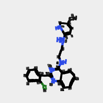 N#CC1=CC=C(NCCNc2nc(-c3ccccc3Cl)nc3ccccc23)NC1